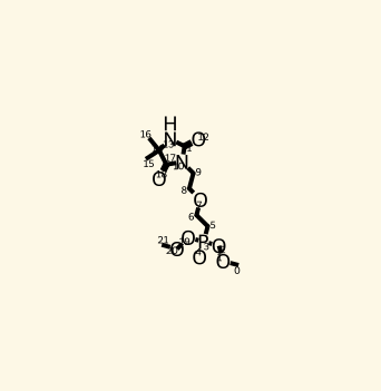 COOP(=O)(CCOCCN1C(=O)NC(C)(C)C1=O)OOC